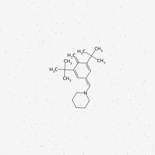 C=c1c(C(C)(C)C)cc(=CN2CCCCC2)cc1C(C)(C)C